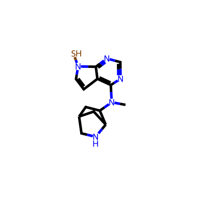 CN(c1ncnc2c1ccn2S)C1CC2CNC1C2